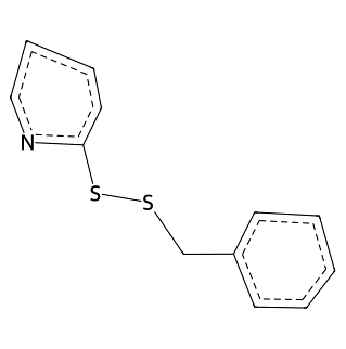 c1ccc(CSSc2ccccn2)cc1